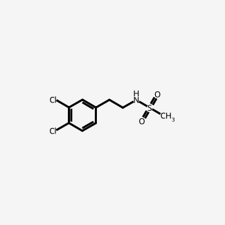 CS(=O)(=O)NCCc1ccc(Cl)c(Cl)c1